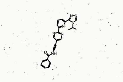 CC(C)n1cnnc1-c1cccc(-c2ncc(C#CNC(=O)c3ccccc3)cn2)n1